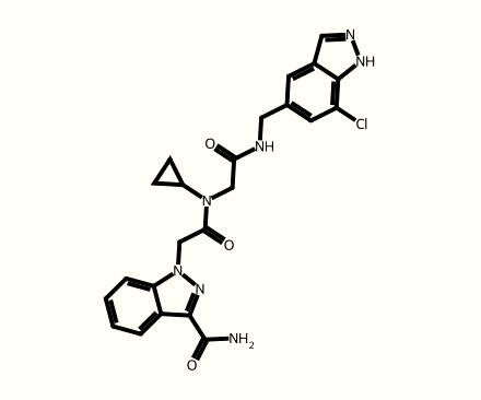 NC(=O)c1nn(CC(=O)N(CC(=O)NCc2cc(Cl)c3[nH]ncc3c2)C2CC2)c2ccccc12